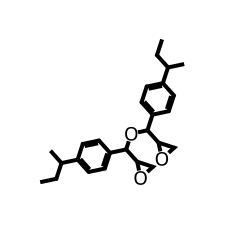 CCC(C)c1ccc(C(OC(c2ccc(C(C)CC)cc2)C2CO2)C2CO2)cc1